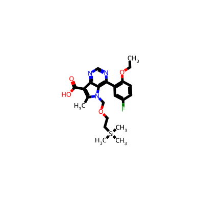 CCOc1ccc(F)cc1-c1ncnc2c(C(=O)O)c(C)n(COCC[Si](C)(C)C)c12